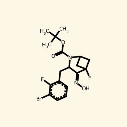 CC(C)(C)OC(=O)N1C2CC(F)(C2)C(=NO)C1Cc1cccc(Br)c1F